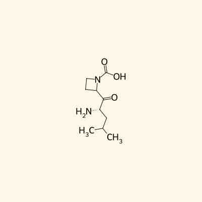 CC(C)C[C@H](N)C(=O)C1CCN1C(=O)O